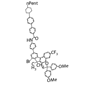 CCCCCC1CCC(c2ccc(-c3ccc(C(=O)Nc4ccc(-c5cc(Br)c6c(c5)-c5c(c7c(c8cc(C(F)(F)F)ccc58)OC(c5ccc(OC)cc5)(c5ccc(OC)cc5)C=C7)C6(C)C)cc4)cc3)cc2)CC1